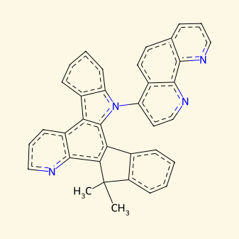 CC1(C)c2ccccc2-c2c1c1ncccc1c1c3ccccc3n(-c3ccnc4c3ccc3cccnc34)c21